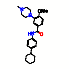 COc1ccc(C(=O)Nc2ccc(C3CCCCC3)cc2)cc1N1CCN(C)CC1